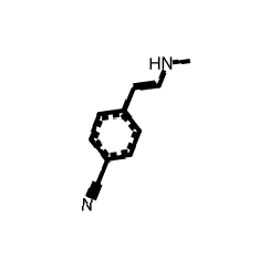 CN/C=C/c1ccc(C#N)cc1